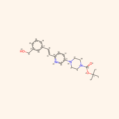 CC(C)(C)OC(=O)N1CCN(c2ccc(/C=C/c3cccc(CO)c3)nc2)CC1